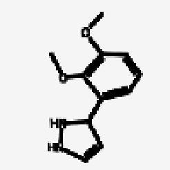 COc1cccc(C2C=CNN2)c1OC